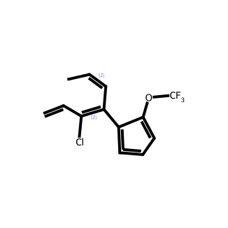 C=C/C(Cl)=C(\C=C/C)C1=C=CC=C1OC(F)(F)F